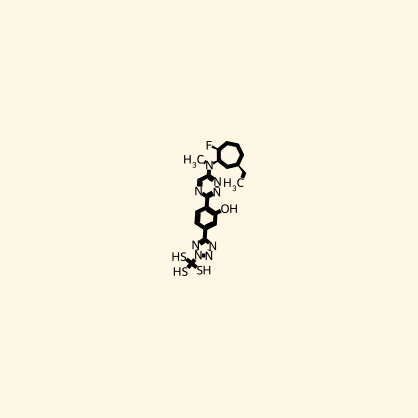 CC[C@@H]1CCC[C@H](F)[C@H](N(C)c2cnc(-c3ccc(-c4nnn(C(S)(S)S)n4)cc3O)nn2)C1